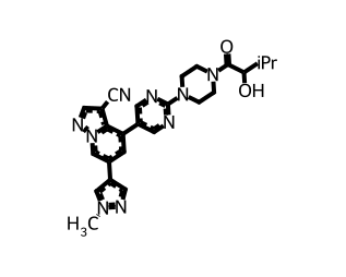 CC(C)C(O)C(=O)N1CCN(c2ncc(-c3cc(-c4cnn(C)c4)cn4ncc(C#N)c34)cn2)CC1